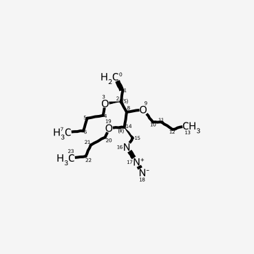 C=C[C@H](OCCCC)C(OCCCC)[C@@H](CN=[N+]=[N-])OCCCC